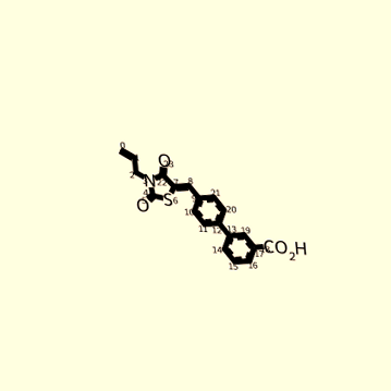 C=CCN1C(=O)S/C(=C\c2ccc(-c3cccc(C(=O)O)c3)cc2)C1=O